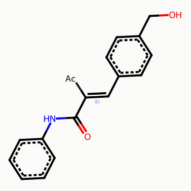 CC(=O)/C(=C\c1ccc(CO)cc1)C(=O)Nc1ccccc1